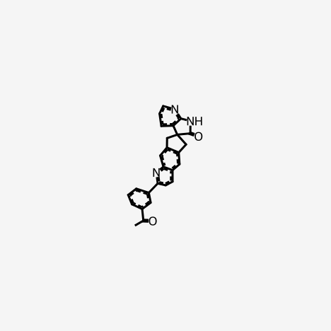 CC(=O)c1cccc(-c2ccc3cc4c(cc3n2)CC2(C4)C(=O)Nc3ncccc32)c1